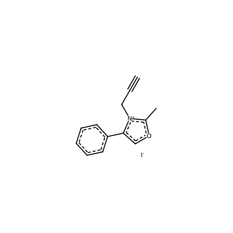 C#CC[n+]1c(-c2ccccc2)coc1C.[I-]